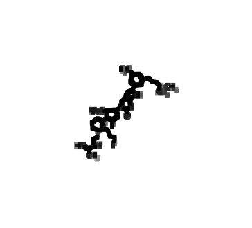 CSc1cc(-n2cc3cc(-c4cc(CCC[C@H](C)N)cc(C(F)(F)F)c4)[nH]c3nc2=O)cc(F)c1[C@@H]1CCC[C@@H](CCNC(C)=N)N1CCCF